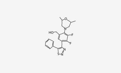 CC1CN(c2c(CO)cc(-c3nnsc3-c3ccccc3)c(F)c2F)CC(C)O1